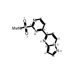 CNS(=O)(=O)c1nccc(-c2ccn3nccc3n2)n1